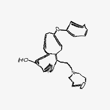 Oc1cnc(CN2CCOCC2)c2cc(Oc3ccccc3)ccc12